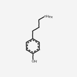 CCCCCCCCCc1c[c]c(O)cc1